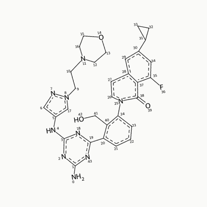 Nc1nc(Nc2cnn(CCN3CCOCC3)c2)nc(-c2cccc(-n3ccc4cc(C5CC5)cc(F)c4c3=O)c2CO)n1